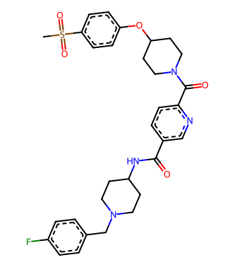 CS(=O)(=O)c1ccc(OC2CCN(C(=O)c3ccc(C(=O)NC4CCN(Cc5ccc(F)cc5)CC4)cn3)CC2)cc1